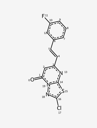 O=c1cc(/C=C/c2cccc(F)c2)nc2sc(Cl)nn12